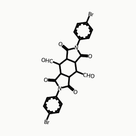 O=CC1C2C(=O)N(c3ccc(Br)cc3)C(=O)C2C(C=O)C2C(=O)N(c3ccc(Br)cc3)C(=O)C12